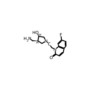 NC[C@@H]1CN(CCn2c(=O)ccc3ccc(F)cc32)C[C@@H]1O